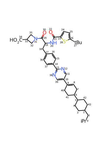 CC(C)CC1CCC(C2CC=C(c3cnc(-c4ccc(CC(NC(=O)c5ccc(C(C)(C)C)s5)C(=O)N5CC(C(=O)O)C5)cc4)nc3)CC2)CC1